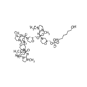 CN1CCN(C)C1=NP(=O)(OC[C@H]1CN(P(=O)(N=C2N(C)CCN2C)OC[C@H]2CN(P(=O)(N=C3N(C)CCN3C)OC(C)(C)C)CCO2)CCO1)N1CCO[C@@H](COP(=O)(O)OCCCCCCO)C1